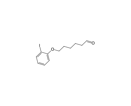 O=CCCCCCOc1ccccc1I